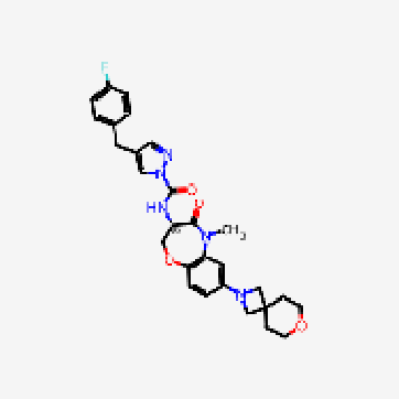 CN1C(=O)[C@H](NC(=O)n2cc(Cc3ccc(F)cc3)cn2)COc2ccc(N3CC4(CCOCC4)C3)cc21